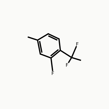 Cc1ccc(C(C)(F)F)c(F)c1